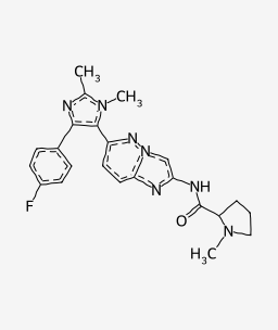 Cc1nc(-c2ccc(F)cc2)c(-c2ccc3nc(NC(=O)C4CCCN4C)cn3n2)n1C